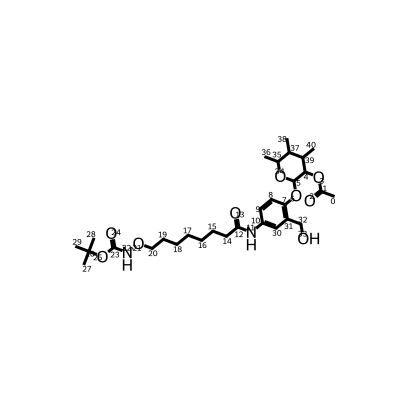 CC(=O)OC1C(Oc2ccc(NC(=O)CCCCCCCONC(=O)OC(C)(C)C)cc2CO)OC(C)C(C)C1C